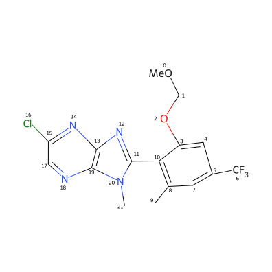 COCOc1cc(C(F)(F)F)cc(C)c1-c1nc2nc(Cl)cnc2n1C